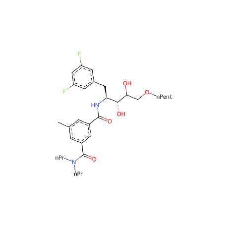 CCCCCOCC(O)[C@H](O)[C@H](Cc1cc(F)cc(F)c1)NC(=O)c1cc(C)cc(C(=O)N(CCC)CCC)c1